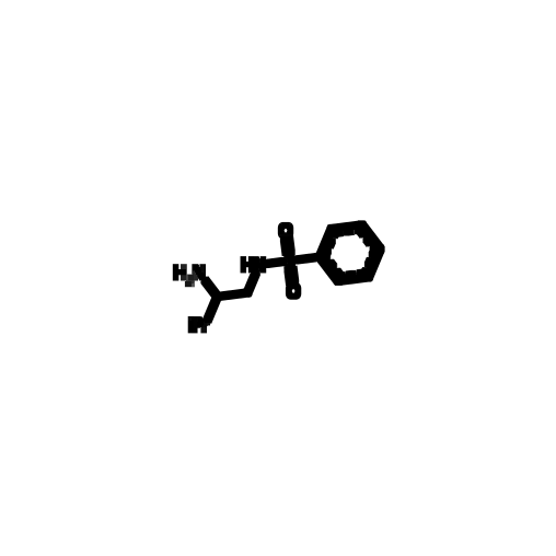 CC(C)C(N)CNS(=O)(=O)c1ccccc1